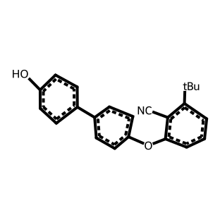 CC(C)(C)c1cccc(Oc2ccc(-c3ccc(O)cc3)cc2)c1C#N